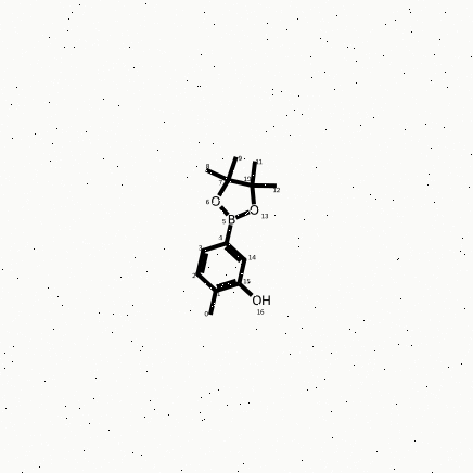 Cc1ccc(B2OC(C)(C)C(C)(C)O2)cc1O